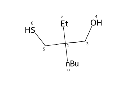 CCCCC(CC)(CO)CS